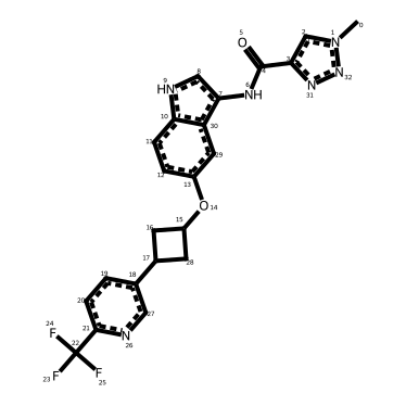 Cn1cc(C(=O)Nc2c[nH]c3ccc(OC4CC(c5ccc(C(F)(F)F)nc5)C4)cc23)nn1